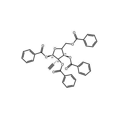 C#C[C@]1(OC(=O)c2ccccc2)[C@@H](OC(=O)c2ccccc2)OC(COC(=O)c2ccccc2)[C@H]1OC(=O)c1ccccc1